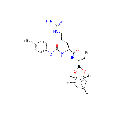 CCCCc1ccc(NC(=O)N[C@@H](CCCNC(=N)N)C(=O)N[C@@H](CC(C)C)B2O[C@@H]3C[C@@H]4C[C@@H](C4(C)C)[C@]3(C)O2)cc1